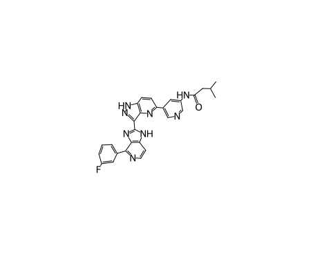 CC(C)CC(=O)Nc1cncc(-c2ccc3[nH]nc(-c4nc5c(-c6cccc(F)c6)nccc5[nH]4)c3n2)c1